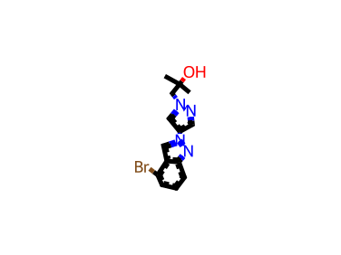 CC(C)(O)Cn1cc(-n2cc3c(Br)cccc3n2)cn1